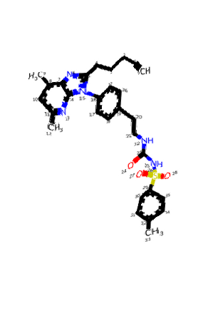 C#CCCCc1nc2c(C)cc(C)nc2n1-c1ccc(CCNC(=O)NS(=O)(=O)c2ccc(C)cc2)cc1